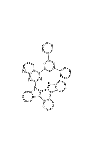 c1ccc(-c2cc(-c3ccccc3)cc(-c3nc(-n4c5ccccc5c5c6ccccc6c6c7ccccc7sc6c54)nc4ncccc34)c2)cc1